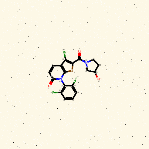 O=C(c1sc2c(ccc(=O)n2-c2c(F)cccc2F)c1Br)N1CCC(O)C1